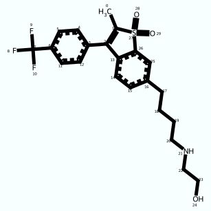 CC1=C(c2ccc(C(F)(F)F)cc2)c2ccc(CCCCNCCO)cc2S1(=O)=O